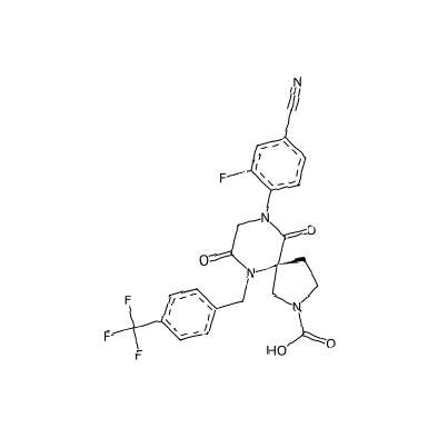 N#Cc1ccc(N2CC(=O)N(Cc3ccc(C(F)(F)F)cc3)[C@]3(CCN(C(=O)O)C3)C2=O)c(F)c1